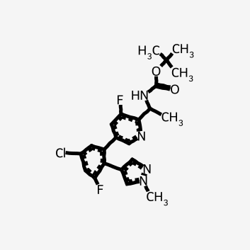 CC(NC(=O)OC(C)(C)C)c1ncc(-c2cc(Cl)cc(F)c2-c2cnn(C)c2)cc1F